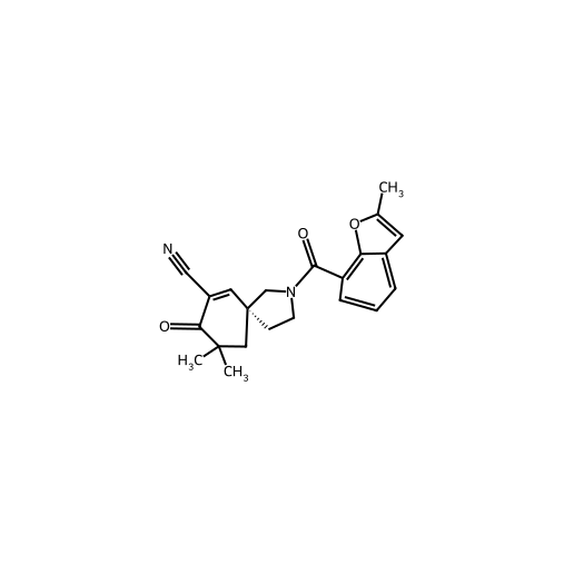 Cc1cc2cccc(C(=O)N3CC[C@]4(C=C(C#N)C(=O)C(C)(C)C4)C3)c2o1